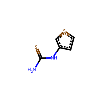 NC(=S)Nc1ccsc1